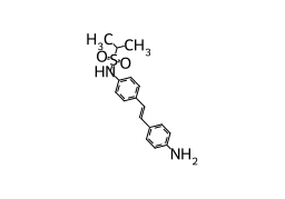 CC(C)S(=O)(=O)Nc1ccc(/C=C/c2ccc(N)cc2)cc1